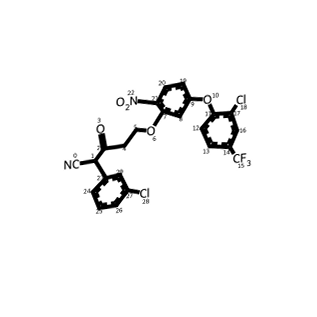 N#CC(C(=O)CCOc1cc(Oc2ccc(C(F)(F)F)cc2Cl)ccc1[N+](=O)[O-])c1cccc(Cl)c1